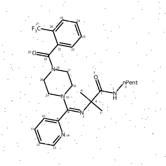 CCCCCNC(=O)C(C)(C)N=C(c1ccccn1)N1CCN(C(=O)c2ccccc2C(F)(F)F)CC1